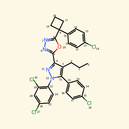 CCCc1c(-c2nnc(C3(c4ccc(Cl)cc4)CCC3)o2)nn(-c2ccc(Cl)cc2Cl)c1-c1ccc(Cl)cc1